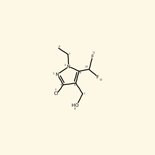 CCn1nc(Cl)c(CO)c1C(F)F